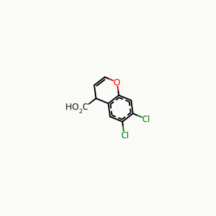 O=C(O)C1C=COc2cc(Cl)c(Cl)cc21